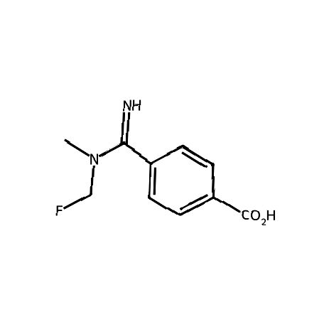 CN(CF)C(=N)c1ccc(C(=O)O)cc1